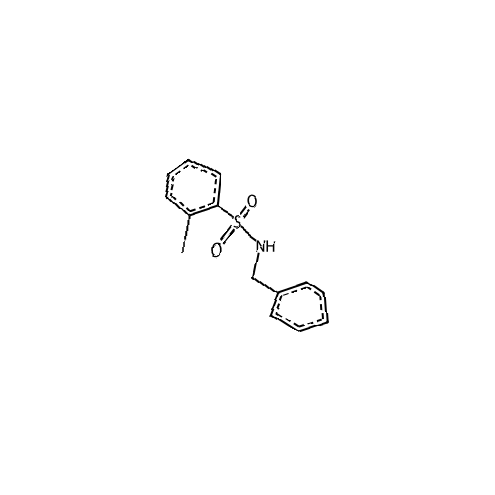 O=S(=O)(NCc1ccccc1)c1ccccc1I